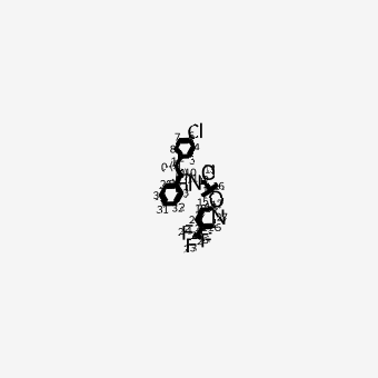 C[C@H](c1ccc(Cl)cc1)[C@H](CNC(=O)C(C)(C)Oc1ccc(C(F)(F)F)cn1)c1ccccc1